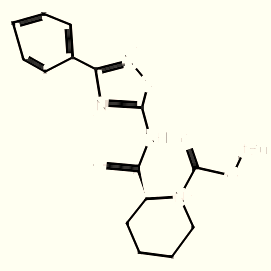 CC(C)(C)OC(=O)N1CCCC[C@H]1C(=O)Nc1nc(-c2ccccc2)ns1